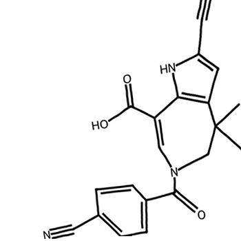 CC1(C)CN(C(=O)c2ccc(C#N)cc2)C=C(C(=O)O)c2[nH]c(C#N)cc21